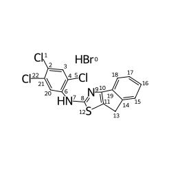 Br.Clc1cc(Cl)c(Nc2nc3c(s2)Cc2ccccc2-3)cc1Cl